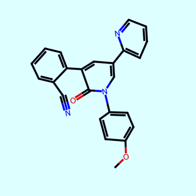 COc1ccc(-n2cc(-c3ccccn3)cc(-c3ccccc3C#N)c2=O)cc1